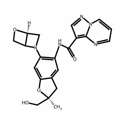 C[C@@]1(CO)Cc2cc(NC(=O)c3cnn4cccnc34)c(N3C[C@@H]4OCC43)cc2O1